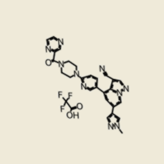 Cn1cc(-c2cc(-c3ccc(N4CCN(C(=O)c5cnccn5)CC4)nc3)c3c(C#N)cnn3c2)cn1.O=C(O)C(F)(F)F